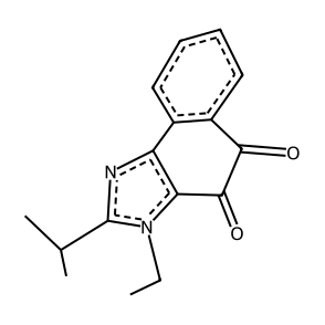 CCn1c(C(C)C)nc2c1C(=O)C(=O)c1ccccc1-2